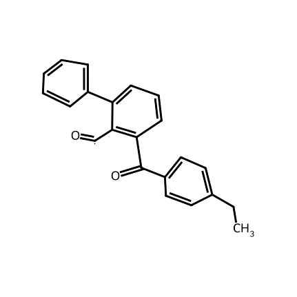 CCc1ccc(C(=O)c2cccc(-c3ccccc3)c2[C]=O)cc1